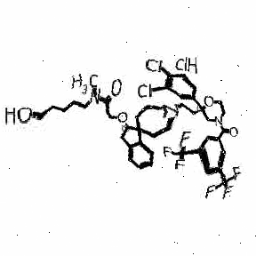 CN(CCCCCO)C(=O)CO[C@H]1Cc2ccccc2C12CCN(CC[C@]1(c3ccc(Cl)c(Cl)c3)CN(C(=O)c3cc(C(F)(F)F)cc(C(F)(F)F)c3)CCO1)CC2.Cl